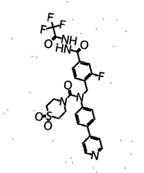 O=C(NNC(=O)C(F)(F)F)c1ccc(CN(C(=O)N2CCS(=O)(=O)CC2)c2ccc(-c3ccncc3)cc2)c(F)c1